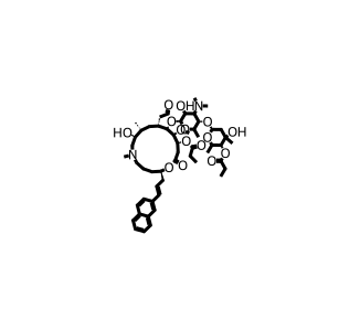 CCC(=O)O[C@@H]1CC(=O)O[C@@H](C/C=C/c2ccc3ccccc3c2)CCCN(C)C[C@H](O)[C@H](C)C[C@H](CC=O)[C@H](O[C@@H]2OC(C)[C@@H](O[C@H]3CC(C)(O)[C@@H](OC(=O)CC)C(C)O3)C(N(C)C)C2O)[C@H]1OC